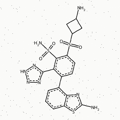 Nc1nc2c(-c3ccc(S(=O)(=O)C4CC(N)C4)c(S(N)(=O)=O)c3-c3nn[nH]n3)cccc2s1